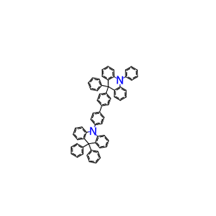 c1ccc(N2c3ccccc3C(c3ccccc3)(c3ccc(-c4ccc(N5c6ccccc6C(c6ccccc6)(c6ccccc6)c6ccccc65)cc4)cc3)c3ccccc32)cc1